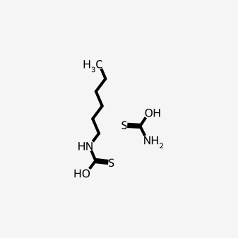 CCCCCCNC(O)=S.NC(O)=S